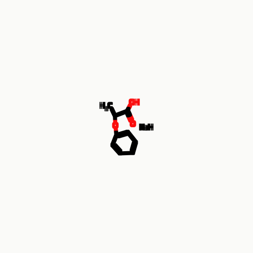 CC(Oc1ccccc1)C(=O)O.[NaH]